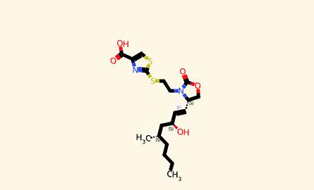 CCCC[C@H](C)C[C@H](O)/C=C/[C@H]1COC(=O)N1CCSc1nc(C(=O)O)cs1